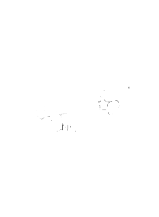 OCc1cccc2c(CSCCC3CC(c4ccccc4)=CCN3)c[nH]c12